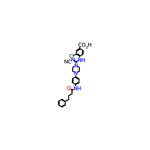 N#C/N=C(/Nc1ccc(C(=O)O)cc1Cl)N1CCN(c2ccc(NC(=O)CCCc3ccccc3)cc2)CC1